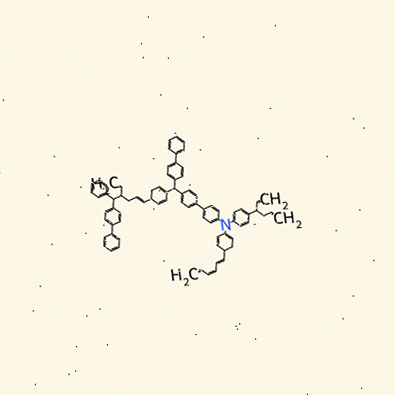 C=C/C=C\C=C\C1C=CC(N(c2ccc(-c3ccc(C(C4=CCC(/C=C/CC(C=C)C(c5ccccc5)c5ccc(-c6ccccc6)cc5)C=C4)c4ccc(-c5ccccc5)cc4)cc3)cc2)c2ccc(C(C=C)CC=C)cc2)=CC1